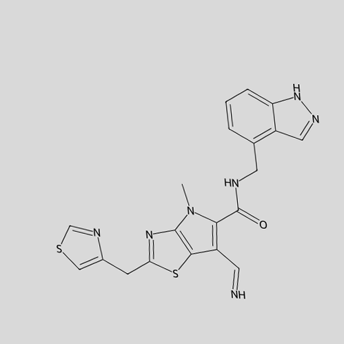 Cn1c(C(=O)NCc2cccc3[nH]ncc23)c(C=N)c2sc(Cc3cscn3)nc21